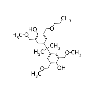 CCCOCc1cc(C(C)(C)c2cc(COC)c(O)c(COC)c2)cc(COC)c1O